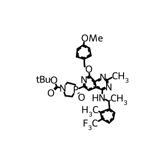 COc1ccc(COc2nc(P3(=O)CCN(C(=O)OC(C)(C)C)CC3)cc3c(N[C@H](C)c4cccc(C(F)(F)F)c4C)nc(C)nc23)cc1